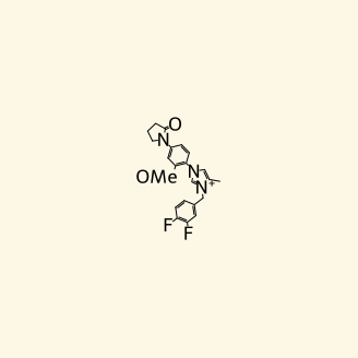 COc1cc(N2CCCC2=O)ccc1-n1cc(C)[n+](Cc2ccc(F)c(F)c2)c1